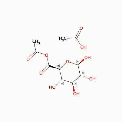 CC(=O)O.CC(=O)OC(=O)[C@H]1O[C@@H](O)[C@H](O)[C@@H](O)[C@@H]1O